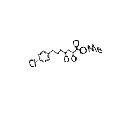 COC(=O)C(=O)CC(=O)CCCc1ccc(Cl)cc1